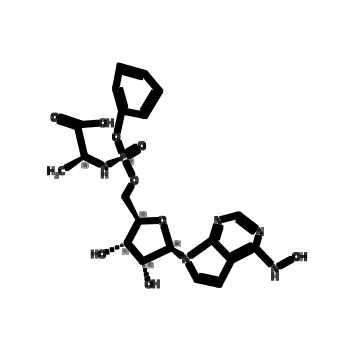 C[C@H](N[P@@](=O)(OC[C@H]1O[C@@H](n2ccc3c(NO)ncnc32)[C@H](O)[C@@H]1O)Oc1ccccc1)C(=O)O